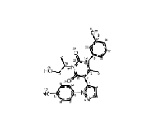 Cc1c(-c2ccnn2-c2ccc(C#N)cc2)c(=O)n(C(C)CO)c(=O)n1-c1cccc(C(F)(F)F)c1